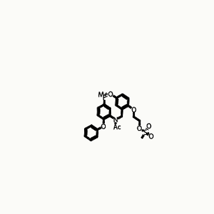 COc1ccc(OCCOS(C)(=O)=O)c(CN(C(C)=O)c2cc(F)ccc2Oc2ccccc2)c1